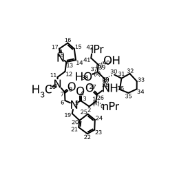 CCC[C@H](CC(=O)N(CC(=O)N(C)CCc1ccccn1)Cc1ccccc1)C(=O)N[C@@H](CC1CCCCC1)[C@@H](O)[C@@H](O)CC(C)C